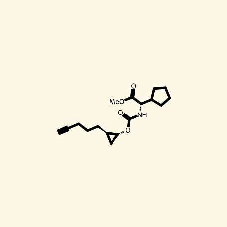 C#CCCC[C@@H]1C[C@H]1OC(=O)N[C@H](C(=O)OC)C1CCCC1